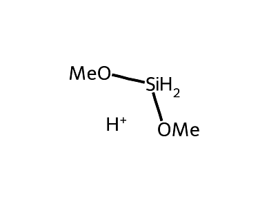 CO[SiH2]OC.[H+]